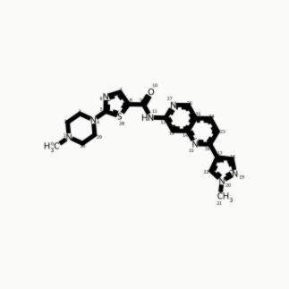 CN1CCN(c2ncc(C(=O)Nc3cc4nc(-c5cnn(C)c5)ccc4cn3)s2)CC1